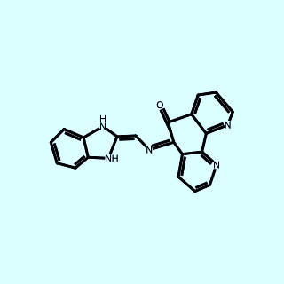 O=C1/C(=N\C=C2Nc3ccccc3N2)c2cccnc2-c2ncccc21